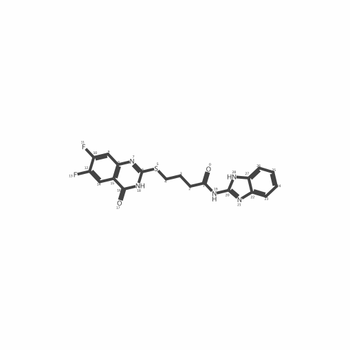 O=C(CCCSc1nc2cc(F)c(F)cc2c(=O)[nH]1)Nc1nc2ccccc2[nH]1